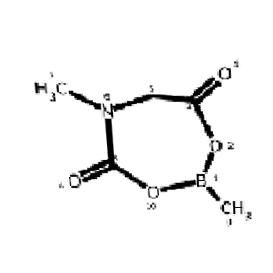 CB1OC(=O)CN(C)C(=O)O1